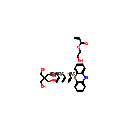 C=CC(=O)O.C=CC(=O)O.C=CC(=O)O.C=CC(=O)OCCO.OCC(CO)(CO)CO.c1ccc2c(c1)Nc1ccccc1S2